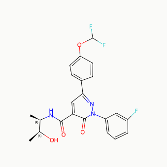 C[C@H](O)[C@@H](C)NC(=O)c1cc(-c2ccc(OC(F)F)cc2)nn(-c2cccc(F)c2)c1=O